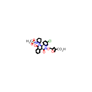 CS(=O)(=O)N[C@H]1CCCC[C@@H]1N1C(=O)c2ccccc2[C@@H](C(=O)NOCc2cc(C(=O)O)co2)[C@@H]1c1ccc(Cl)cc1